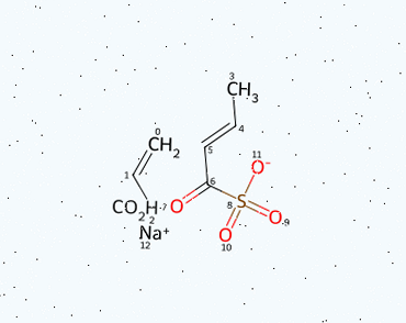 C=CC(=O)O.CC=CC(=O)S(=O)(=O)[O-].[Na+]